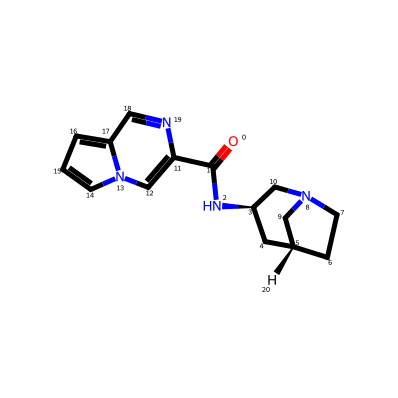 O=C(N[C@@H]1C[C@H]2CCN(C2)C1)c1cn2cccc2cn1